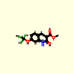 COC(=O)c1cc2ccc(OC(F)(F)F)cc2[nH]c1=O